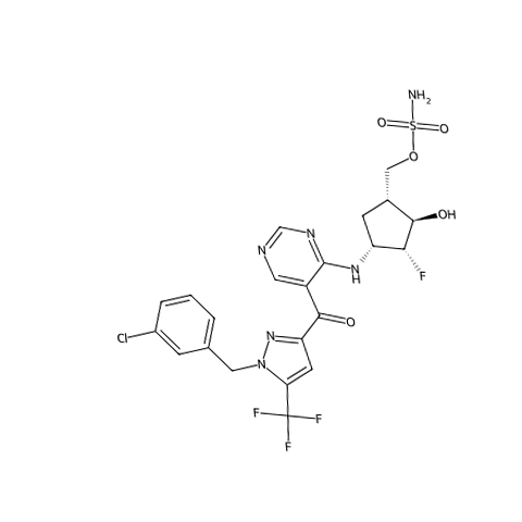 NS(=O)(=O)OC[C@H]1C[C@@H](Nc2ncncc2C(=O)c2cc(C(F)(F)F)n(Cc3cccc(Cl)c3)n2)[C@@H](F)[C@@H]1O